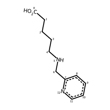 O=C(O)CCCCNCc1ccccn1